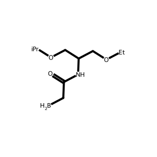 BCC(=O)NC(COCC)COC(C)C